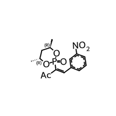 CC(=O)C(=Cc1cccc([N+](=O)[O-])c1)P1(=O)O[C@H](C)C[C@@H](C)O1